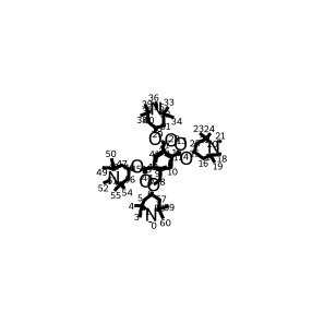 CN1C(C)(C)CC(OCc2cc(C(=O)OC3CC(C)(C)N(C)C(C)(C)C3)c(C(=O)OC3CC(C)(C)N(C)C(C)(C)C3)cc2C(=O)OC2CC(C)(C)N(C)C(C)(C)C2)CC1(C)C